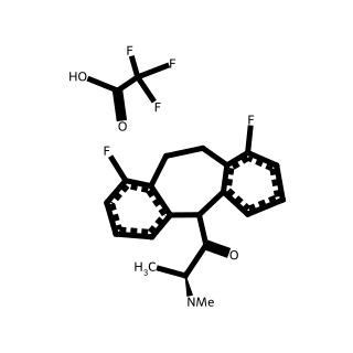 CN[C@@H](C)C(=O)C1c2cccc(F)c2CCc2c(F)cccc21.O=C(O)C(F)(F)F